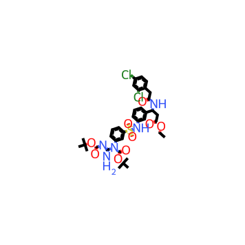 CCOC(=O)CC(NC(=O)Cc1ccc(Cl)cc1Cl)c1cccc(NS(=O)(=O)c2cccc(N(C(=O)OC(C)(C)C)C(N)=NC(=O)OC(C)(C)C)c2)c1